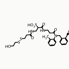 C#Cc1ccccc1CN(C(=O)CCNC(=O)C(CNC(=O)CCSSCCO)S(=O)(=O)O)c1ccccc1C